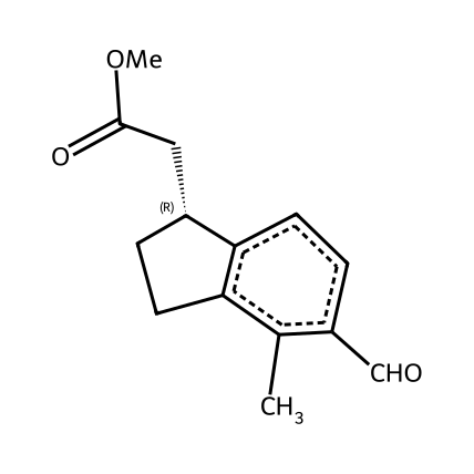 COC(=O)C[C@H]1CCc2c1ccc(C=O)c2C